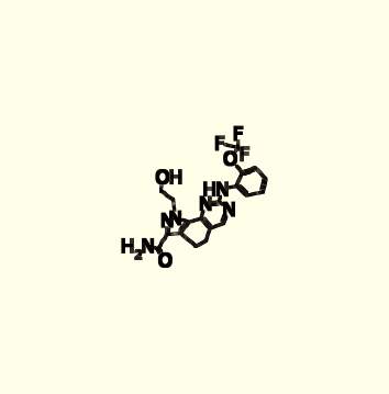 NC(=O)c1nn(CCO)c2c1CCc1cnc(Nc3ccccc3OC(F)(F)F)nc1-2